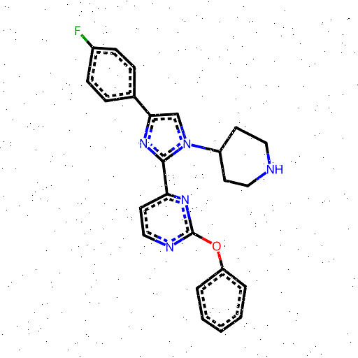 Fc1ccc(-c2cn(C3CCNCC3)c(-c3ccnc(Oc4ccccc4)n3)n2)cc1